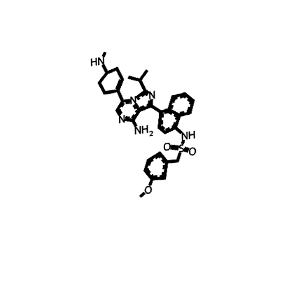 CNC1CC=C(c2cnc(N)c3c(-c4ccc(NS(=O)(=O)Cc5cccc(OC)c5)c5ccccc45)nc(C(C)C)n23)CC1